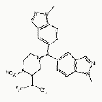 Cn1ncc2cc(C(c3ccc4c(cnn4C)c3)N3CCN(C(=O)O)C(C(C(F)(F)F)C(F)(F)F)C3)ccc21